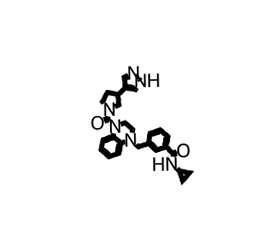 O=C(NC1CC1)c1cccc(CN2CCN(C(=O)N3CCC(c4cn[nH]c4)C3)c3ccccc32)c1